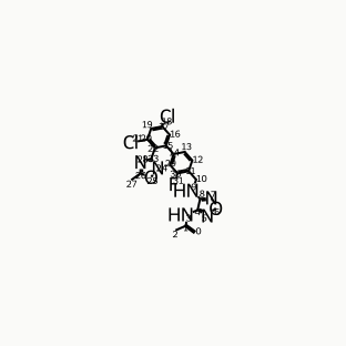 C=C(C)Nc1nonc1NCc1ccc(-c2cc(Cl)cc(Cl)c2-c2noc(C)n2)cc1F